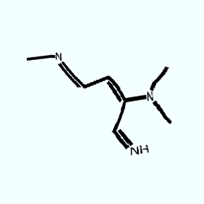 C/N=C/C=C(\C=N)N(C)C